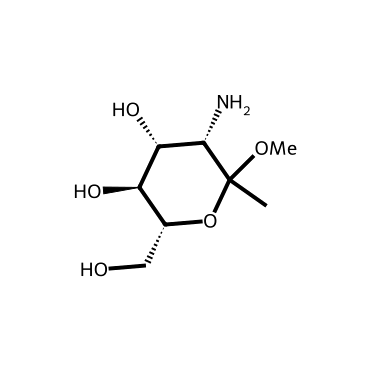 COC1(C)O[C@H](CO)[C@@H](O)[C@H](O)[C@@H]1N